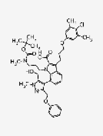 Cc1cc(OCCCc2c(C(=O)O)n(CCCN(C)C(=O)OC(C)(C)C)c3c(-c4c(COc5ccccc5)nn(C)c4CO)cccc23)cc(C)c1Cl